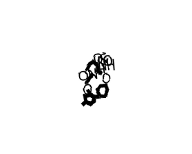 Cc1ccc2c(c1)OCC(=O)N1CCCC(NS(C)(=O)=O)[C@@H]1COC1CCC2CC1